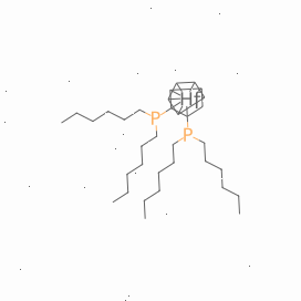 CCCCCCP(CCCCCC)[C]12[CH]3[CH]4[CH]5[C]1(P(CCCCCC)CCCCCC)[Hf]43521678[CH]2[CH]1[CH]6[CH]7[CH]28